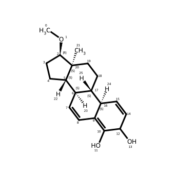 CO[C@@H]1CC[C@H]2[C@@H]3C=CC4=C(O)C(O)C=C[C@@H]4[C@H]3CC[C@]12C